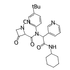 CC(C)(C)c1ccc(N(C(=O)C2C(=O)CN2C#N)C(C(=O)NC2CCCCC2)c2cccnc2)cc1